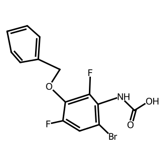 O=C(O)Nc1c(Br)cc(F)c(OCc2ccccc2)c1F